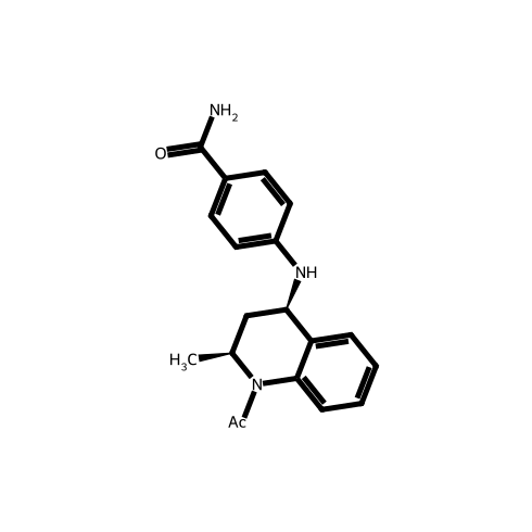 CC(=O)N1c2ccccc2[C@H](Nc2ccc(C(N)=O)cc2)C[C@@H]1C